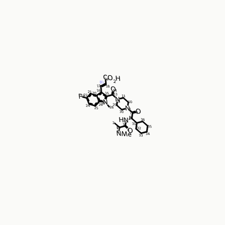 CN[C@@H](C)C(=O)N[C@H](C(=O)N1CCN(C(=O)c2c(/C=C/C(=O)O)c3cc(F)ccc3n2C)CC1)C1CCCCC1